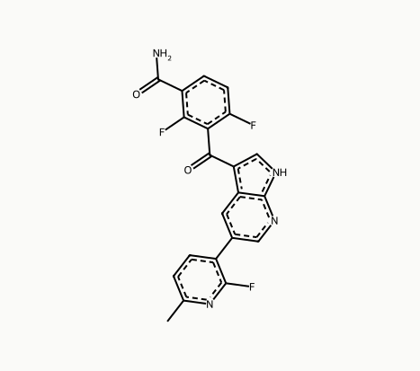 Cc1ccc(-c2cnc3[nH]cc(C(=O)c4c(F)ccc(C(N)=O)c4F)c3c2)c(F)n1